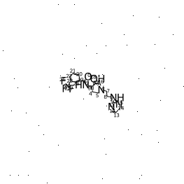 O=C(N[C@@H]1CCN(CCNc2ncccn2)C[C@H]1O)c1cccc(C(F)(F)F)c1